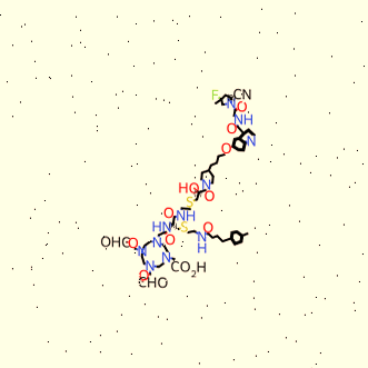 Cc1ccc(CCCC(=O)NCCSC[C@H](NC(=O)CN2CCN(COC=O)CCN(COC=O)CCN(CC(=O)O)CC2)C(=O)NCCSC[C@@H](O)C(=O)N2CCC(CCCCOc3ccc4nccc(C(=O)NCC(=O)N5CC(C)(F)C[C@@H]5C#N)c4c3)CC2)cc1